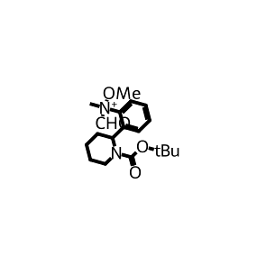 CO[N+](C)(C=O)c1ccccc1C1CCCCN1C(=O)OC(C)(C)C